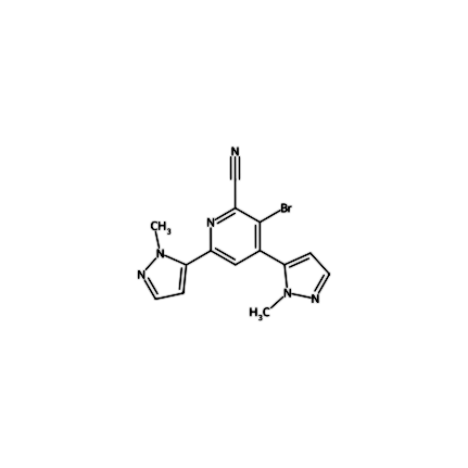 Cn1nccc1-c1cc(-c2ccnn2C)c(Br)c(C#N)n1